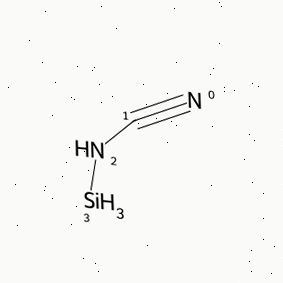 N#CN[SiH3]